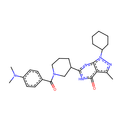 Cc1nn(C2CCCCC2)c2nc(C3CCCN(C(=O)c4ccc(N(C)C)cc4)C3)[nH]c(=O)c12